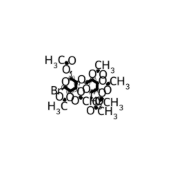 CC(=O)OC[C@H]1O[C@H](Br)[C@H](OC(C)=O)[C@@H](OC(C)=O)[C@@H]1O[C@@H]1O[C@H](COC(C)=O)[C@@H](OC(C)=O)C(OC(C)=O)[C@H]1OC(C)=O